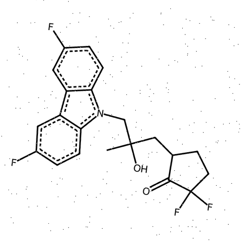 CC(O)(CC1CCC(F)(F)C1=O)Cn1c2ccc(F)cc2c2cc(F)ccc21